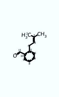 CC(C)=CCc1ccccc1C=O